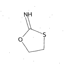 N=C1OCCS1